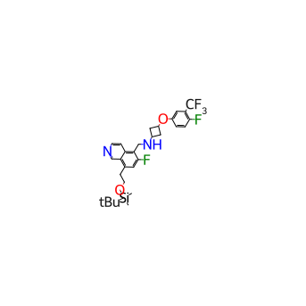 CC(C)(C)[Si](C)(C)OCCc1cc(F)c(CNC2CC(Oc3ccc(F)c(C(F)(F)F)c3)C2)c2ccncc12